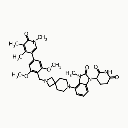 COc1cc(-c2cn(C)c(=O)c(C)c2C)cc(OC)c1CN1CC2(CCN(c3cccc4c3n(C)c(=O)n4C3CCC(=O)NC3=O)CC2)C1